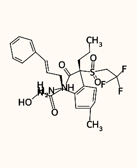 CCC[C@](C(=O)NN)(c1ccc(C)cc1[C@H](C/C=C/c1ccccc1)C(=O)NO)S(=O)(=O)CC(F)(F)F